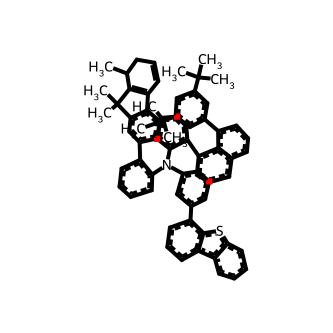 CC1CC=CC2=C1C(C)(C)c1cc(-c3ccccc3N(c3cccc(-c4cccc5c4sc4ccccc45)c3)c3ccccc3-c3cccc4cccc(-c5cc(C(C)(C)C)cc(C(C)(C)C)c5)c34)ccc12